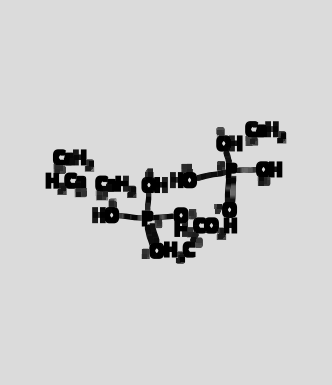 CC(=O)O.O=P(O)(O)O.O=P(O)(O)O.[CaH2].[CaH2].[CaH2].[CaH2]